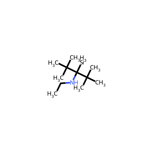 CCNC([SiH3])(C(C)(C)C)C(C)(C)C